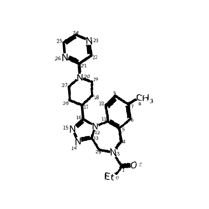 CCC(=O)N1Cc2cc(C)ccc2-n2c(nnc2C2CCN(c3cnccn3)CC2)C1